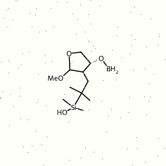 BO[C@H]1COC(OC)C1CC(C)(C)[Si](C)(C)O